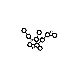 c1ccc(-c2ccc(N(c3cccc(-c4ccccc4)c3)c3cccc4oc5c6ccccc6c(-c6ccc(-c7ccc8oc9ccccc9c8c7)cc6)cc5c34)cc2)cc1